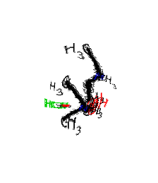 CCC(CC(=O)O)C(=O)O.CCCCCCCCCCN(C)CCCCCCCCCC.CCCCCCCCCCN(C)CCCCCCCCCC.Cl.Cl